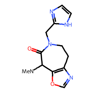 CNC1C(=O)N(Cc2ncc[nH]2)CCc2ncoc21